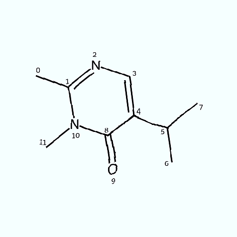 Cc1ncc(C(C)C)c(=O)n1C